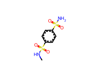 CNS(=O)(=O)c1ccc(S(N)(=O)=O)cc1